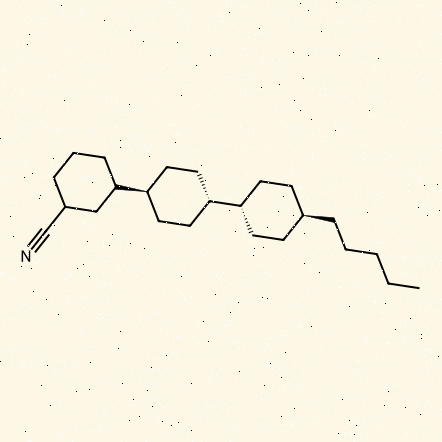 CCCCC[C@H]1CC[C@H]([C@H]2CC[C@H](C3CCCC(C#N)C3)CC2)CC1